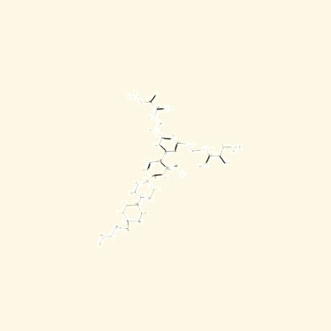 C=C(CO)C(=O)OCOc1cc(OCOC(=O)C(=C)CO)cc(-c2ccc(C3CCC(C4CCC(CCCCC)CC4)CC3)cc2CC)c1